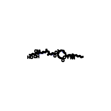 CCCCCc1cn(C[C@H](C)[C@H]2C/C=C/C[C@H](C)[C@@H](OC(=O)/C=C/C(C)=CC(C)=C/C=C/C(C)=C/[C@H](O)[C@@H](O)C[C@H](C)O)CCCC(=O)O2)nn1